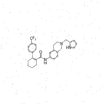 O=C(Nc1ccc2c(c1)CCN(Cc1ccc[nH]1)C2)C1=C(c2ccc(C(F)(F)F)cc2)CCCC1